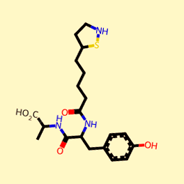 CC(NC(=O)C(Cc1ccc(O)cc1)NC(=O)CCCCC1CCNS1)C(=O)O